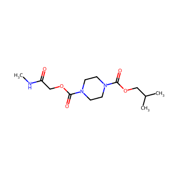 CNC(=O)COC(=O)N1CCN(C(=O)OCC(C)C)CC1